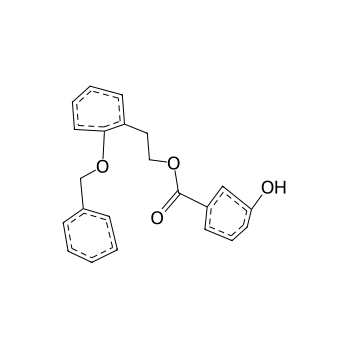 O=C(OCCc1ccccc1OCc1ccccc1)c1cccc(O)c1